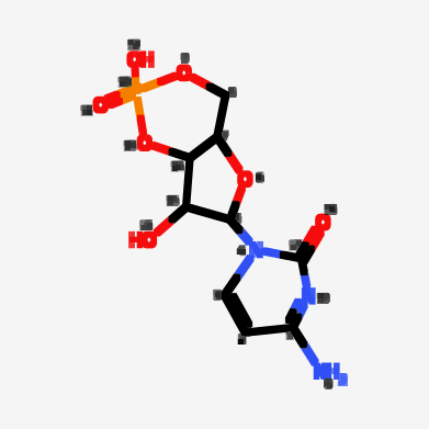 Nc1ccn(C2OC3COP(=O)(O)OC3C2O)c(=O)n1